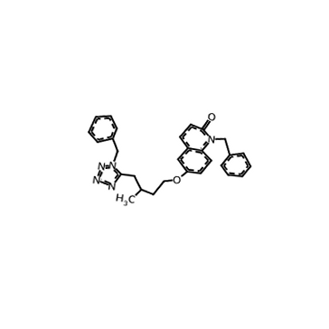 CC(CCOc1ccc2c(ccc(=O)n2Cc2ccccc2)c1)Cc1nnnn1Cc1ccccc1